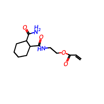 C=CC(=O)OCCNC(=O)C1CCCCC1C(N)=O